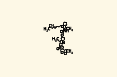 CCc1c2c(nc3ccc(OCC(=O)N/N=C(\C)c4ccccc4OCCCCCCC(C)C)cc13)-c1cc3c(c(=O)n1C2)COC(=O)C3CC